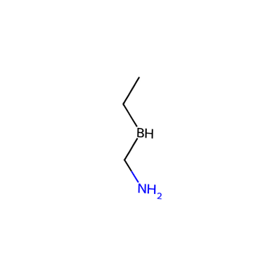 CCBCN